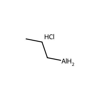 CC[CH2][AlH2].Cl